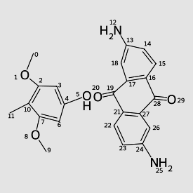 COc1cc(O)cc(OC)c1C.Nc1ccc2c(c1)C(=O)c1ccc(N)cc1C2=O